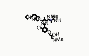 CNC[C@@H](O)COc1ccc(Cl)c(-c2nc(/C(NC)=C(\C)C(=N)Br)c(C)c(N3Cc4ccc(N5CCC5)nc4C3)n2)c1